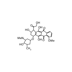 CNC1CC(OC2CC(O)C(C(=O)CO)c3c(O)c4c(c(O)c32)C(=O)c2c(OC)cccc2C4=O)CC(C)C1O